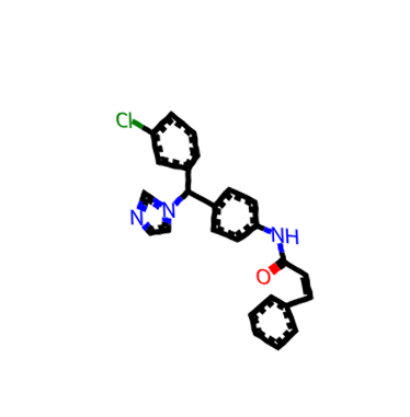 O=C(/C=C\c1ccccc1)Nc1ccc(C(c2cccc(Cl)c2)n2ccnc2)cc1